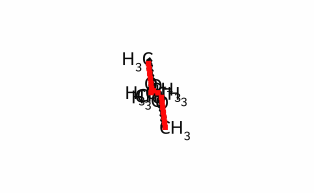 CCCCCCCCCCOC(=O)C[N+](C)(C)CC[N+](C)(C)CC(=O)OCCCCCCCCCC.[Cl-].[Cl-]